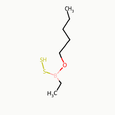 CCCCCOB(CC)SS